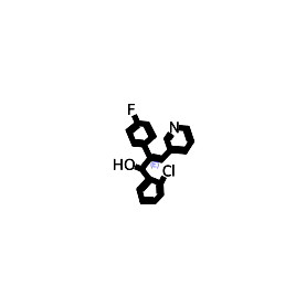 OC(/C(=C/c1cccnc1)c1ccc(F)cc1)c1ccccc1Cl